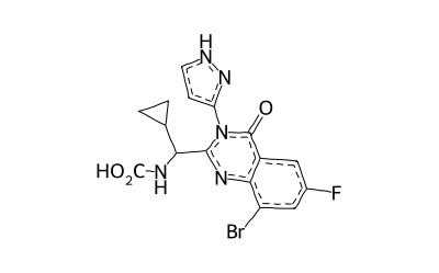 O=C(O)NC(c1nc2c(Br)cc(F)cc2c(=O)n1-c1cc[nH]n1)C1CC1